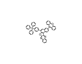 c1ccc(S(c2ccccc2)(c2ccccc2)c2ccc(-c3cc4cc(N5c6ccccc6Oc6ccccc65)ccc4c4c3oc3nc5ccccc5nc34)cc2)cc1